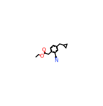 CCOC(=O)Cc1ccc(CC2CC2)cc1C#N